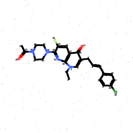 CCn1cc(CC=Cc2ccc(Cl)cc2)c(=O)c2cc(F)c(N3CCN(C(C)=O)CC3)nc21